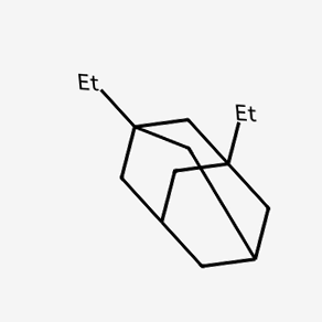 CCC12CC3CC(C1)CC(CC)(C3)C2